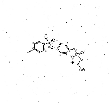 CCOP(=O)(SCC(C)C)Sc1ccc(OS(=O)(=O)c2ccc(F)cc2)cc1